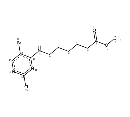 COC(=O)CCCCCNc1nc(Cl)ncc1Br